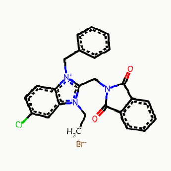 CCn1c(CN2C(=O)c3ccccc3C2=O)[n+](Cc2ccccc2)c2ccc(Cl)cc21.[Br-]